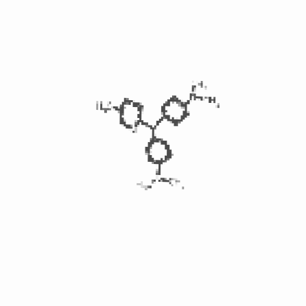 Cc1ccc(C(c2ccc(N(C)C)cc2)c2ccc(N(C)C)cc2)nc1